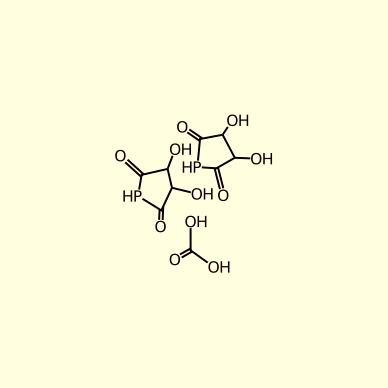 O=C(O)O.O=C1PC(=O)C(O)C1O.O=C1PC(=O)C(O)C1O